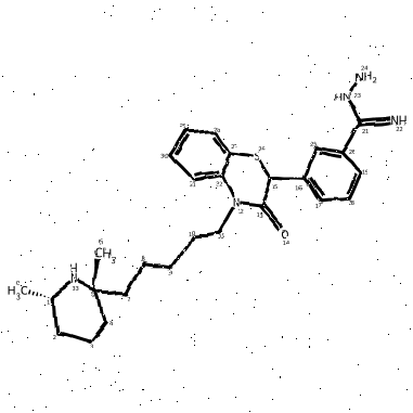 C[C@H]1CCC[C@@](C)(CCCCCN2C(=O)C(c3cccc(C(=N)NN)c3)Sc3ccccc32)N1